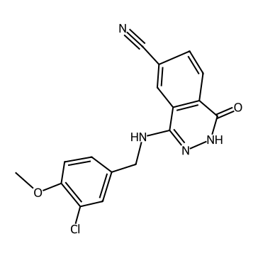 COc1ccc(CNc2n[nH]c(=O)c3ccc(C#N)cc23)cc1Cl